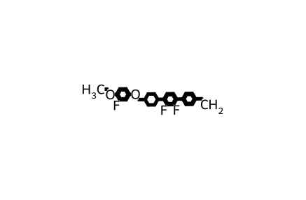 C=Cc1ccc(-c2ccc(C3CCC(COc4ccc(OCC)c(F)c4)CC3)c(F)c2F)cc1